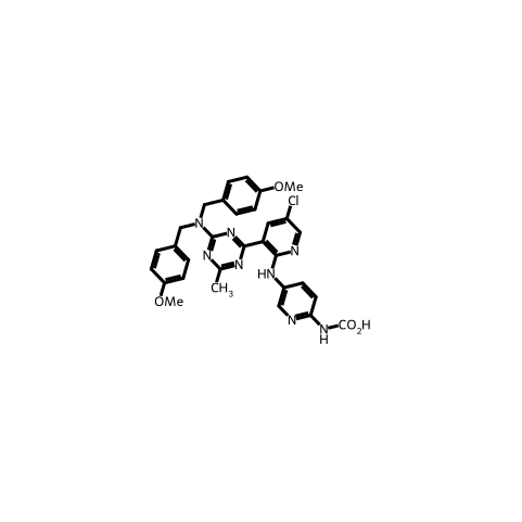 COc1ccc(CN(Cc2ccc(OC)cc2)c2nc(C)nc(-c3cc(Cl)cnc3Nc3ccc(NC(=O)O)nc3)n2)cc1